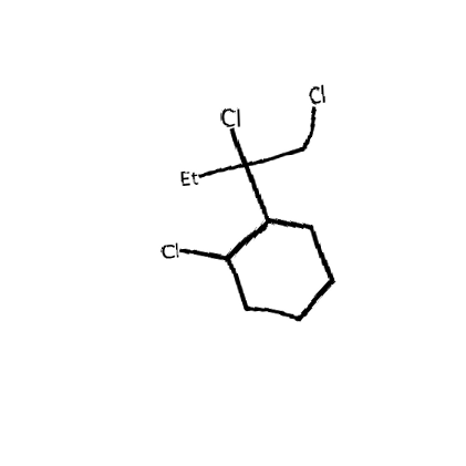 CCC(Cl)(CCl)C1CCCCC1Cl